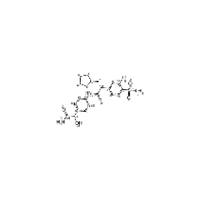 CS(=O)(=O)c1ccc([C@@H](CC2CCCC2)C(=O)Nc2cnc(C(O)C(N)=O)cn2)cc1Cl